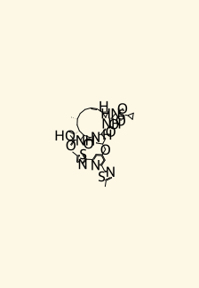 CC[C@@H]1C[C@H](C)CCC=C[C@@H]2C[C@@]2(C(=O)NS(=O)(=O)C2CC2)NC(=O)[C@@H]2C[C@@H](Oc3cc(-c4ncc(C)s4)nc(-c4ncc(C)s4)c3)CN2C(=O)[C@H]1NC(=O)O